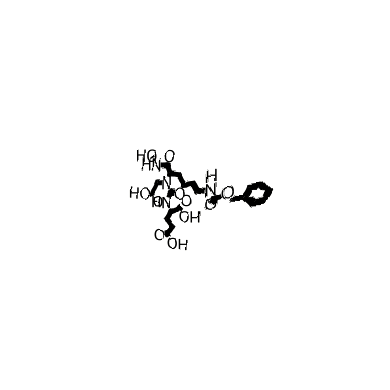 O=C(O)CCC(NC(=O)N(CC(=O)O)C(CCCCNC(=O)OCc1ccccc1)C(=O)NO)C(=O)O